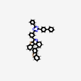 c1ccc(-c2ccc(-c3nc(-c4ccccc4)nc(-c4cccc(-c5nc6cccc(-c7ccc8sc9ccccc9c8c7)c6c6c5sc5ccccc56)c4)n3)cc2)cc1